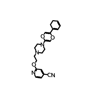 N#Cc1ccnc(OCCN2CCN(C3=COC(C4=CC=CCC4)=CO3)CC2)c1